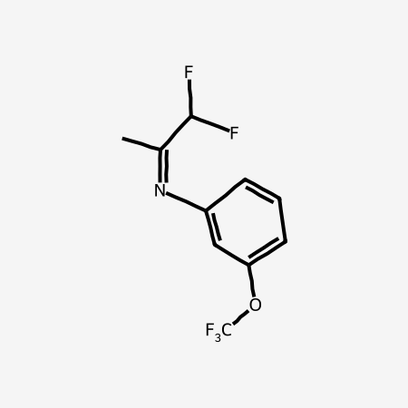 CC(=Nc1cccc(OC(F)(F)F)c1)C(F)F